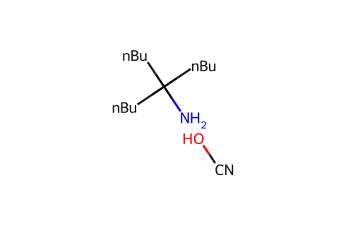 CCCCC(N)(CCCC)CCCC.N#CO